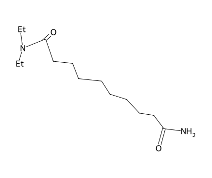 CCN(CC)C(=O)CCCCCCCCC(N)=O